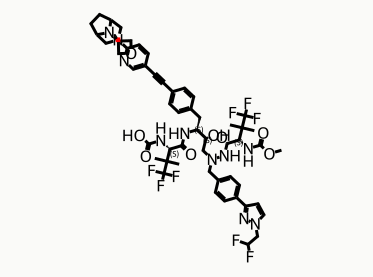 COC(=O)N[C@H](C(=O)NN(Cc1ccc(-c2ccn(CC(F)F)n2)cc1)C[C@H](O)[C@H](Cc1ccc(C#Cc2ccc(N3CC4CCC(C3)N4C3COC3)nc2)cc1)NC(=O)[C@@H](NC(=O)O)C(C)(C)C(F)(F)F)C(C)(C)C(F)(F)F